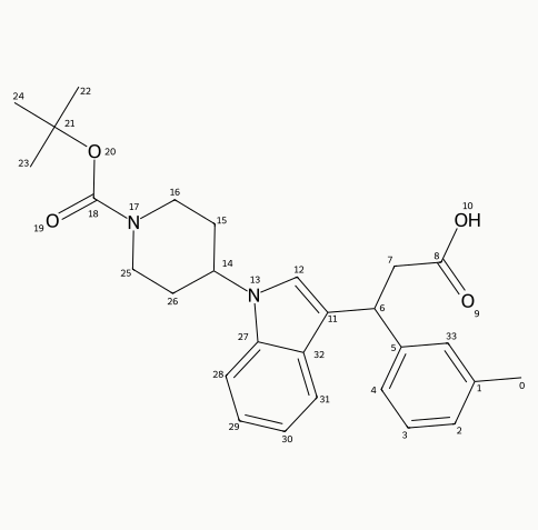 Cc1cccc(C(CC(=O)O)c2cn(C3CCN(C(=O)OC(C)(C)C)CC3)c3ccccc23)c1